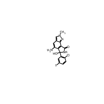 Cn1cc2cc(N)c3c(c2n1)C(=O)NC3(O)c1cc(F)ccc1Cl